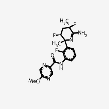 COc1cnc(C(=O)Nc2cccc([C@@]3(C)N=C(N)[C@](C)(F)C[C@@H]3F)c2F)cn1